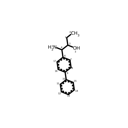 CCC(O)C(N)c1ccc(-c2ccccc2)cc1